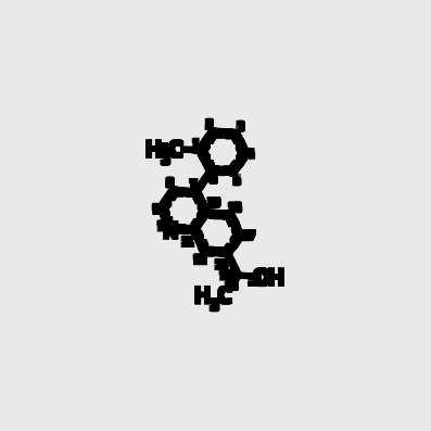 Cc1ccccc1-c1ccnc2cc(C(C)O)ccc12